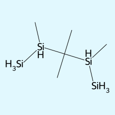 C[SiH]([SiH3])C(C)(C)[SiH](C)[SiH3]